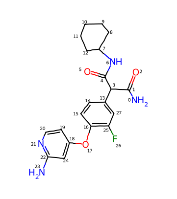 NC(=O)C(C(=O)NC1CCCCC1)c1ccc(Oc2ccnc(N)c2)c(F)c1